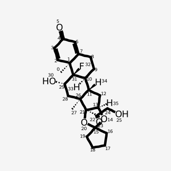 C[C@]12C=CC(=O)C=C1CC[C@H]1[C@@H]3C[C@H]4OC5(CCCC5)O[C@@]4(C(=O)CO)[C@@]3(C)C[C@H](O)[C@@]12F